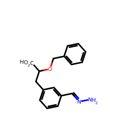 NN=Cc1cccc(CC(OCc2ccccc2)C(=O)O)c1